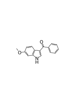 COc1ccc2c(C(=O)c3ccccc3)c[nH]c2c1